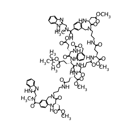 COC(=O)C[C@@H]1Nc2ccc(C(=O)N(C)Cc3nc4ccccc4[nH]3)cc2CN(CCCNC(=O)CC[C@H](NC(=O)CC[C@H](NC(=O)[C@H](CCC(=O)OC(C)(C)C)NC(=O)[C@H](CCC(=O)O)NC(=O)OCc2ccccc2)C(=O)N[C@@H](CCC(=O)NCCCN2Cc3cc(C(=O)N(C)Cc4nc5ccccc5[nH]4)ccc3N[C@@H](CC(=O)OC)C2=O)C(=O)OC)C(=O)OC)C1=O